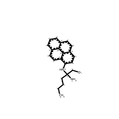 CCCCC(N)(C[O])Nc1ccc2ccc3cccc4ccc1c2c34